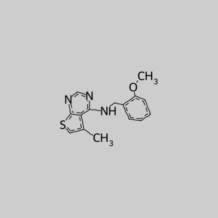 COc1ccccc1CNc1ncnc2scc(C)c12